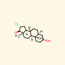 C[C@]12CC[C@H](O)C[C@@H]1CC[C@@H]1[C@@H]2CC[C@]2(C)C(=O)[C@H](Cl)C[C@@H]12